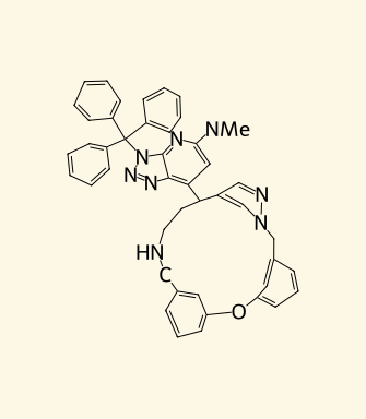 CNc1cc(C2CCNCc3cccc(c3)Oc3cccc(c3)Cn3cc2cn3)c2nnn(C(c3ccccc3)(c3ccccc3)c3ccccc3)c2n1